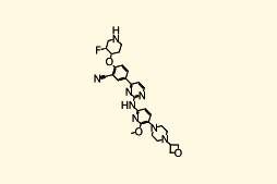 COc1nc(Nc2nccc(-c3ccc(O[C@@H]4CCNC[C@@H]4F)c(C#N)c3)n2)ccc1N1CCN(C2COC2)CC1